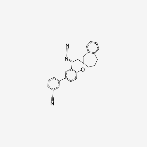 N#CN=C1CC2(CCCc3ccccc3C2)Oc2ccc(-c3cccc(C#N)c3)cc21